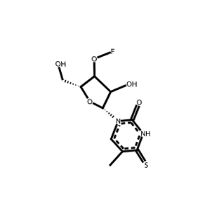 Cc1cn([C@@H]2O[C@H](CO)C(OF)C2O)c(=O)[nH]c1=S